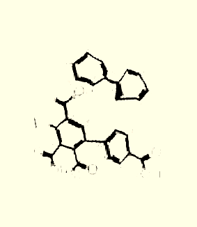 O=C(O)c1ccc(-c2cc(C(=O)O)c(O)c(C(=O)O)c2C(=O)O)cc1.c1ccc(-c2ccccc2)cc1